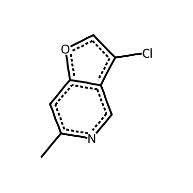 Cc1cc2occ(Cl)c2cn1